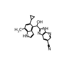 Cc1cc(C2CC2)c(C(O)c2nc3cc(C#N)cnc3[nH]2)c2cc[nH]c12